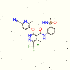 Cc1nc(C#N)ccc1Oc1nnc(C(F)(F)F)c(C)c1C(=O)Nc1cccc([S@](C)(=N)=O)c1